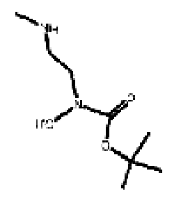 CNCCN(O)C(=O)OC(C)(C)C